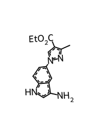 CCOC(=O)c1cn(-c2ccc3[nH]cc(N)c3c2)nc1C